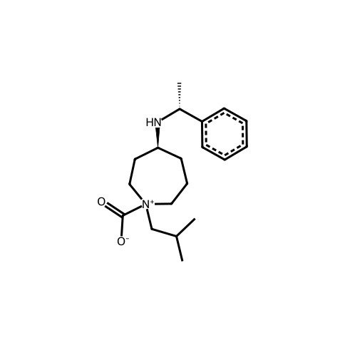 CC(C)C[N+]1(C(=O)[O-])CCC[C@H](N[C@H](C)c2ccccc2)CC1